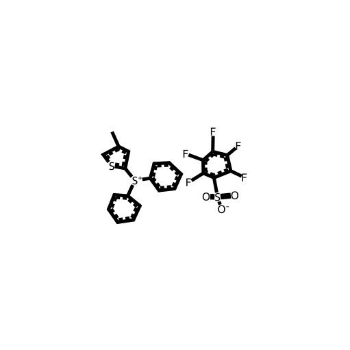 Cc1csc([S+](c2ccccc2)c2ccccc2)c1.O=S(=O)([O-])c1c(F)c(F)c(F)c(F)c1F